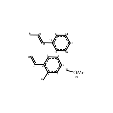 C=Cc1ccccc1C.CC=Cc1ccccc1.COC